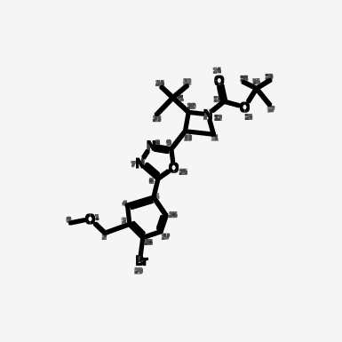 COCc1cc(-c2nnc(C3CN(C(=O)OC(C)(C)C)C3C(C)(C)C)o2)ccc1Br